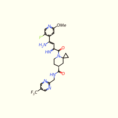 COc1cc(/C(N)=C/C(=N)C(=O)N2CC[C@H](C(=O)NCc3ncc(C(F)(F)F)cn3)CC23CC3)c(F)cn1